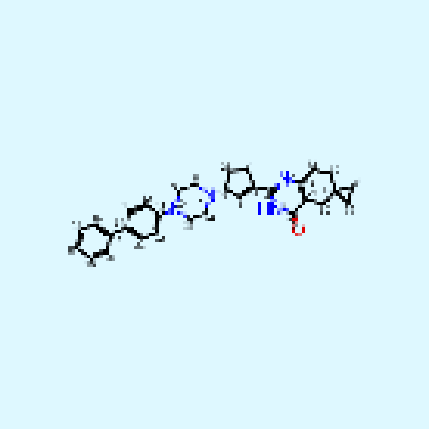 O=c1[nH]c(C2=C[C@H](N3CCN(c4ccc(-c5ccccc5)cc4)CC3)CC2)nc2c1CC1(CC2)CC1